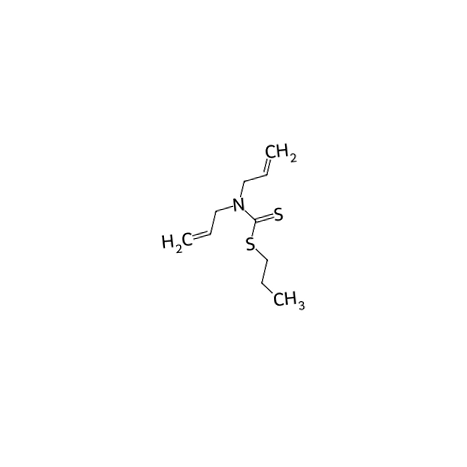 C=CCN(CC=C)C(=S)SCCC